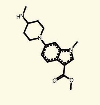 CNC1CCN(c2ccc3c(C(=O)OC)cn(C)c3c2)CC1